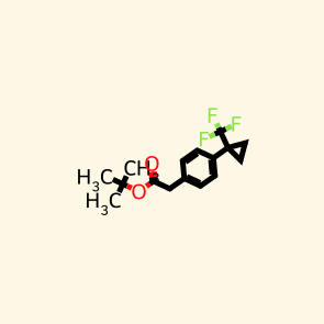 CC(C)(C)OC(=O)Cc1ccc(C2(C(F)(F)F)CC2)cc1